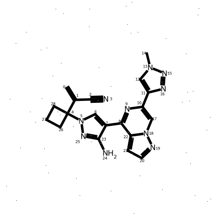 C=C(C#N)C1(n2cc(-c3nc(-c4cn(C)nn4)cn4nccc34)c(N)n2)CCC1